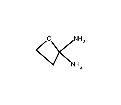 NC1(N)CCO1